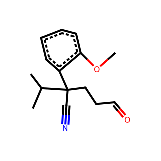 COc1ccccc1C(C#N)(CCC=O)C(C)C